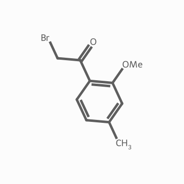 COc1cc(C)ccc1C(=O)CBr